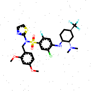 COc1ccc(CN(c2nccs2)S(=O)(=O)c2cc(Cl)c(N[C@H]3CC[C@@H](C(F)(F)F)C[C@@H]3N(C)C)cc2F)c(OC)c1